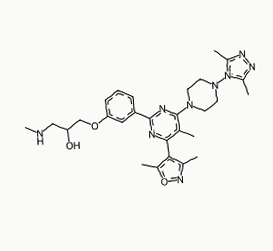 CNCC(O)COc1cccc(-c2nc(-c3c(C)noc3C)c(C)c(N3CCN(n4c(C)nnc4C)CC3)n2)c1